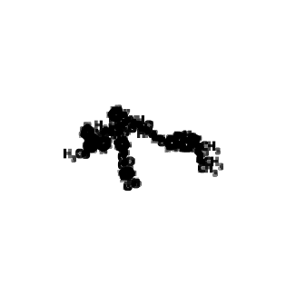 COc1ccc(C(NCCCC[C@@H](NC(=O)[C@H](Cc2ccccc2)NC(=O)CCC(=O)NCCCO[C@H]2CC[C@@]3(C)C(=CCC4[C@@H]3CC[C@]3(C)C([C@H](C)CCCC(C)C)CC[C@@H]43)C2)C(=O)Nc2ccc(COC(=O)Oc3ccc([N+](=O)[O-])cc3)cc2)(c2ccccc2)c2ccccc2)cc1